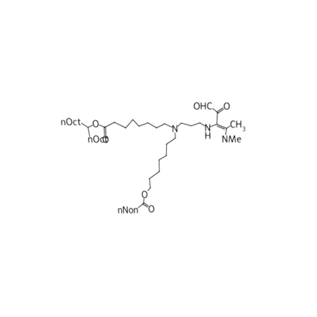 CCCCCCCCCC(=O)OCCCCCCCN(CCCCCCCC(=O)OC(CCCCCCCC)CCCCCCCC)CCCN/C(C(=O)C=O)=C(/C)NC